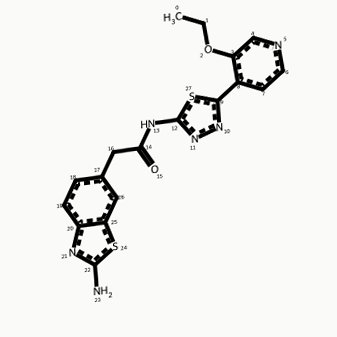 CCOc1cnccc1-c1nnc(NC(=O)Cc2ccc3nc(N)sc3c2)s1